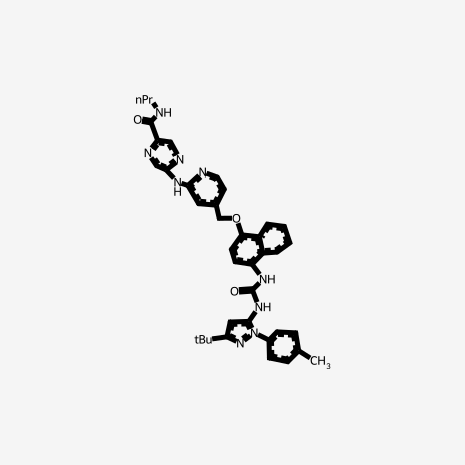 CCCNC(=O)c1cnc(Nc2cc(COc3ccc(NC(=O)Nc4cc(C(C)(C)C)nn4-c4ccc(C)cc4)c4ccccc34)ccn2)cn1